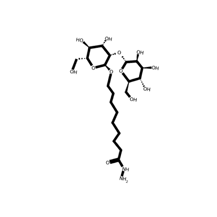 NNC(=O)CCCCCCCCO[C@H]1O[C@H](CO)[C@@H](O)[C@H](O)[C@@H]1O[C@H]1O[C@H](CO)[C@@H](O)[C@H](O)[C@@H]1O